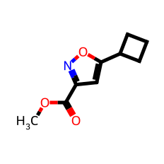 COC(=O)c1cc(C2CCC2)on1